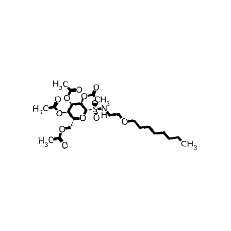 CCCCCCCCOCCNS(=O)(=O)[C@@H]1O[C@H](COC(C)=O)[C@@H](OC(C)=O)[C@H](OC(C)=O)[C@H]1OC(C)=O